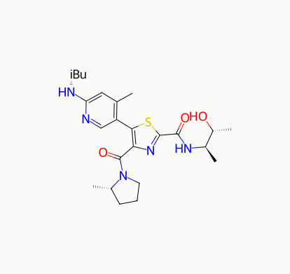 CC[C@@H](C)Nc1cc(C)c(-c2sc(C(=O)N[C@H](C)[C@@H](C)O)nc2C(=O)N2CCC[C@@H]2C)cn1